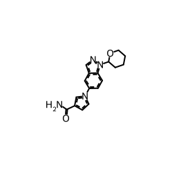 NC(=O)c1ccn(-c2ccc3c(cnn3C3CCCCO3)c2)c1